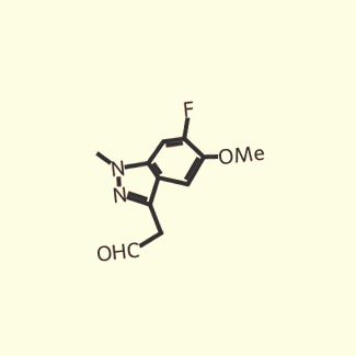 COc1cc2c(CC=O)nn(C)c2cc1F